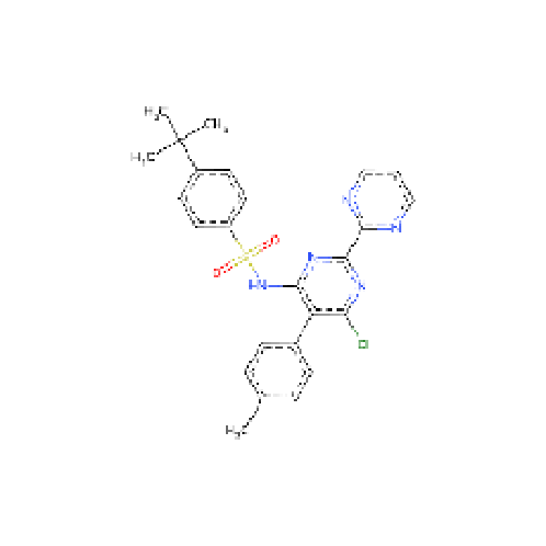 Cc1ccc(-c2c(Cl)nc(-c3ncccn3)nc2NS(=O)(=O)c2ccc(C(C)(C)C)cc2)cc1